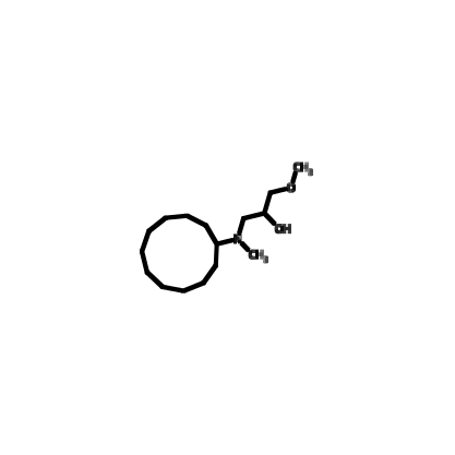 COCC(O)CN(C)C1CCCCCCCCCC1